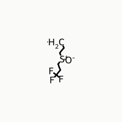 [CH2]CC[S+]([O-])CCC(F)(F)F